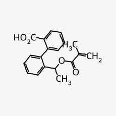 C=C(C)C(=O)OC(C)c1ccccc1-c1ccccc1C(=O)O